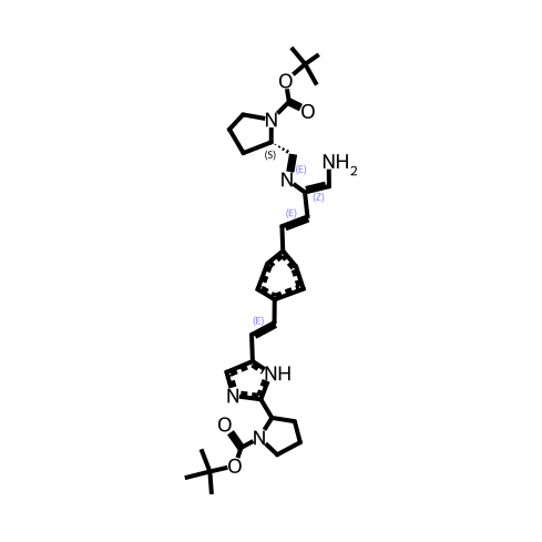 CC(C)(C)OC(=O)N1CCCC1c1ncc(/C=C/c2ccc(/C=C/C(=C/N)/N=C/[C@@H]3CCCN3C(=O)OC(C)(C)C)cc2)[nH]1